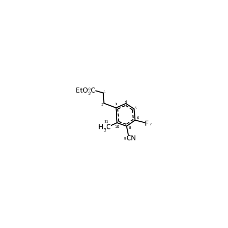 CCOC(=O)CCc1ccc(F)c(C#N)c1C